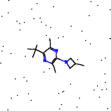 Cc1nc(C(C)(C)C)c(C)nc1N1CC(C)C1